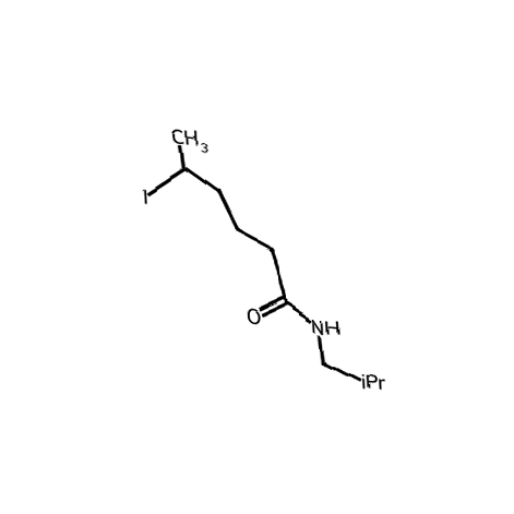 CC(C)CNC(=O)CCCC(C)I